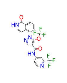 O=C(Nc1ccnc(C(F)(F)F)c1)c1cnn(-c2cccc3c(=O)[nH]ccc23)c1OC(F)(F)F